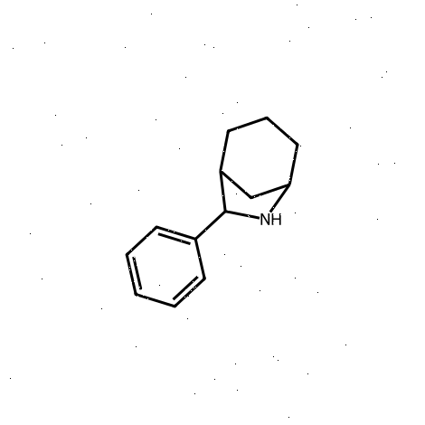 c1ccc(C2NC3CCCC2C3)cc1